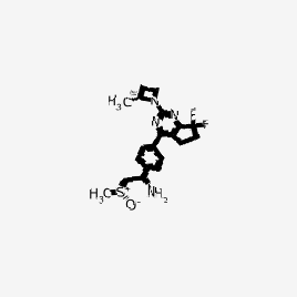 C[C@H]1CCN1c1nc(-c2ccc(C(N)C[S+](C)[O-])cc2)c2c(n1)C(F)(F)CC2